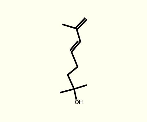 C=C(C)C=CCCC(C)(C)O